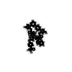 Cc1cc(CC(=O)NS(=O)(=O)c2ccc(Sc3ccc(C(=O)N(C)C)cc3)s2)n(-c2ccccc2)n1.Cc1cc(CC(=O)NS(=O)(=O)c2csc3ccccc23)n(-c2ccccc2)n1